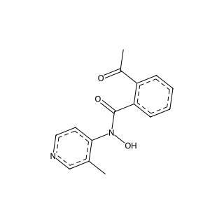 CC(=O)c1ccccc1C(=O)N(O)c1ccncc1C